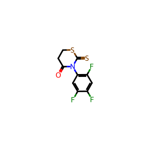 O=C1CCSC(=S)N1c1cc(F)c(F)cc1F